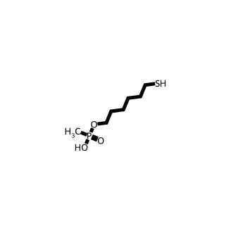 CP(=O)(O)OCCCCCCS